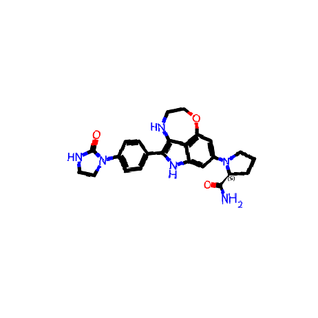 NC(=O)[C@@H]1CCCN1c1cc2c3c(c(-c4ccc(N5CCNC5=O)cc4)[nH]c3c1)NCCO2